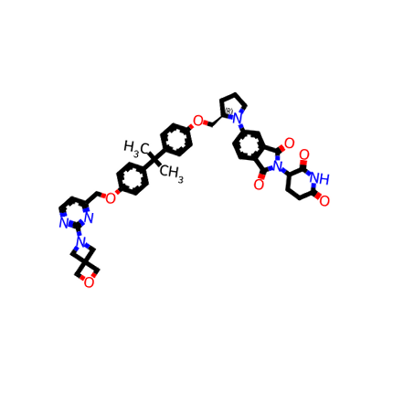 CC(C)(c1ccc(OCc2ccnc(N3CC4(COC4)C3)n2)cc1)c1ccc(OC[C@H]2CCCN2c2ccc3c(c2)C(=O)N(C2CCC(=O)NC2=O)C3=O)cc1